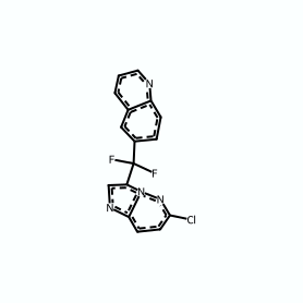 FC(F)(c1ccc2ncccc2c1)c1cnc2ccc(Cl)nn12